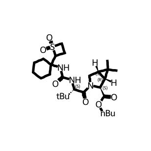 CCCCOC(=O)[C@@H]1[C@@H]2[C@H](CN1C(=O)[C@@H](NC(=O)NC1(C3CCS3(=O)=O)CCCCC1)C(C)(C)C)C2(C)C